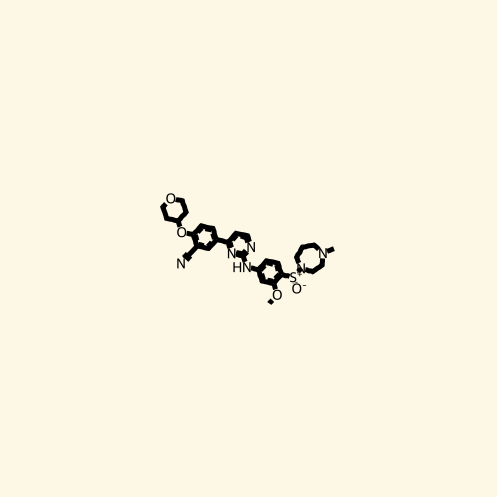 COc1cc(Nc2nccc(-c3ccc(OC4CCOCC4)c(C#N)c3)n2)ccc1[S+]([O-])N1CCCN(C)CC1